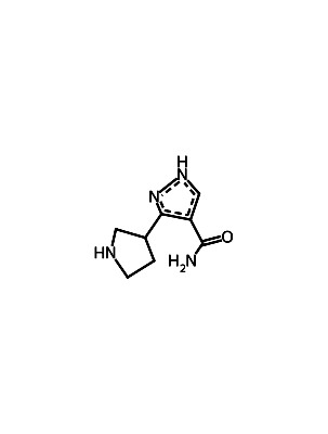 NC(=O)c1c[nH]nc1C1CCNC1